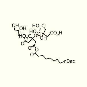 CCCCCCCCCCCCCCCCCC(=O)OC(=O)CC(O)(CC(=O)OCC(O)CO)C(=O)O.O=C(O)CC(O)(CC(=O)O)C(=O)O